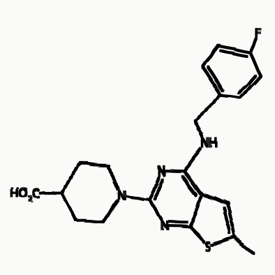 Cc1cc2c(NCc3ccc(F)cc3)nc(N3CCC(C(=O)O)CC3)nc2s1